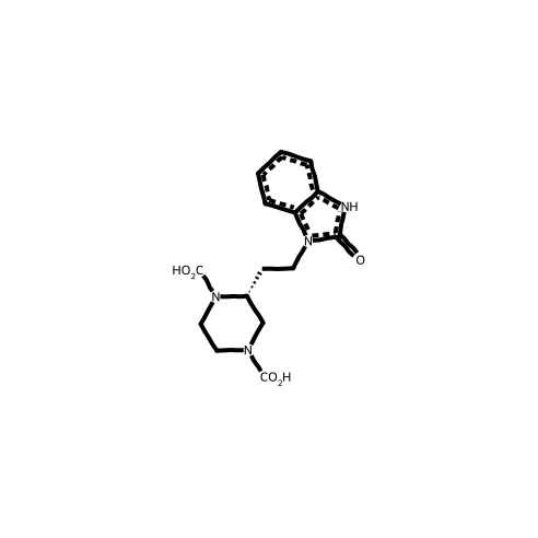 O=C(O)N1CCN(C(=O)O)[C@H](CCn2c(=O)[nH]c3ccccc32)C1